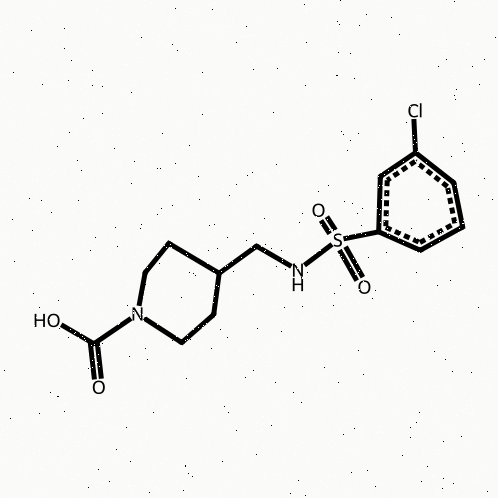 O=C(O)N1CCC(CNS(=O)(=O)c2cccc(Cl)c2)CC1